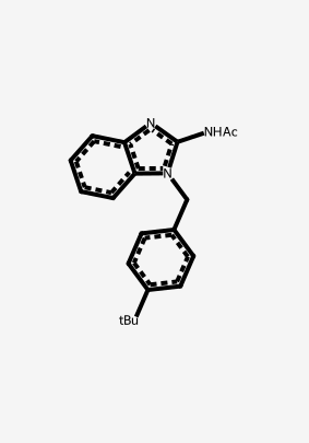 CC(=O)Nc1nc2ccccc2n1Cc1ccc(C(C)(C)C)cc1